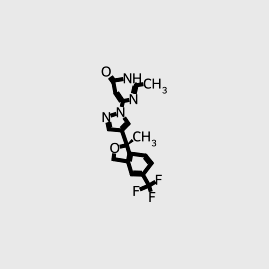 Cc1nc(-n2cc([C@@]3(C)OCc4cc(C(F)(F)F)ccc43)cn2)cc(=O)[nH]1